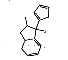 CC1CC2CC=CC=C2[C]1([Zr])C1=CC=CC1